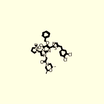 C[C@H]1CN(C(=O)Cn2cc(N3CCCS3(=O)=O)n3c(=O)c(OCc4ccccc4)c(-c4ncc(Cc5ccc(Cl)c(Cl)c5)s4)nc23)C[C@H](C)O1